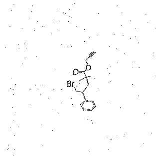 C#CCOC(=O)C(C)(C)CC(CBr)c1ccccc1